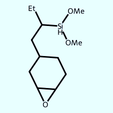 CCC(CC1CCC2OC2C1)[SiH](OC)OC